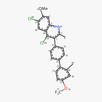 COc1cc2nc(C)c(-c3ccc(-c4ccc(OC(F)(F)F)cc4C)cc3)c(Cl)c2cc1Cl